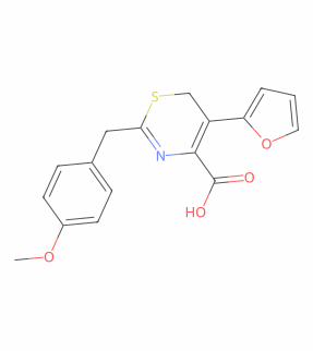 COc1ccc(CC2=NC(C(=O)O)=C(c3ccco3)CS2)cc1